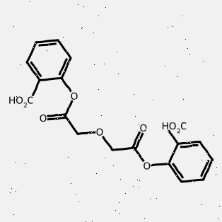 O=C(COCC(=O)Oc1ccccc1C(=O)O)Oc1ccccc1C(=O)O